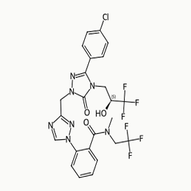 CN(CC(F)(F)F)C(=O)c1ccccc1-n1cnc(Cn2nc(-c3ccc(Cl)cc3)n(C[C@H](O)C(F)(F)F)c2=O)n1